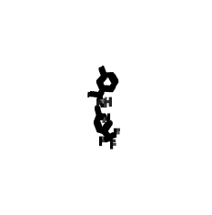 Cc1cccc(C(C)NCc2ccc(C(F)(F)F)cn2)c1